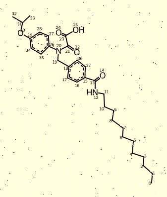 CCCCCCCCCCCCNC(=O)c1ccc(CN(C(=O)C(=O)O)c2ccc(OC(C)C)cc2)cc1